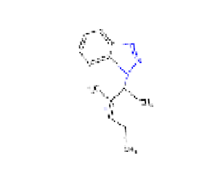 C=C/C=C(/C)C(C)n1nnc2ccccc21